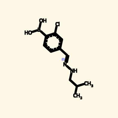 CC(C)CN/N=C/c1ccc(B(O)O)c(Cl)c1